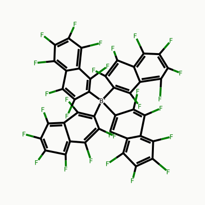 Fc1c(F)c(F)c2c(F)c([B-](c3c(F)c(F)c4c(F)c(F)c(F)c(F)c4c3F)(c3c(F)c(F)c4c(F)c(F)c(F)c(F)c4c3F)c3c(F)c(F)c4c(F)c(F)c(F)c(F)c4c3F)c(F)c(F)c2c1F